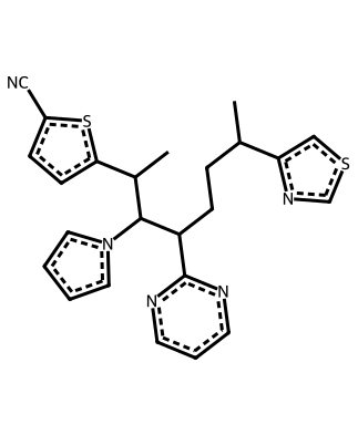 CC(CCC(c1ncccn1)C(C(C)c1ccc(C#N)s1)n1cccc1)c1cscn1